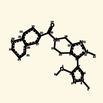 COc1nn(C)cc1-c1c2c(nn1C)CN(C(=O)c1ccc3ncccc3c1)CC2